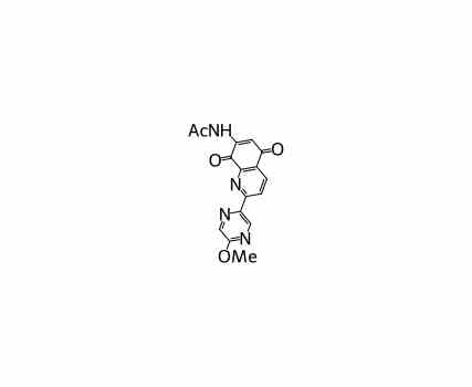 COc1cnc(-c2ccc3c(n2)C(=O)C(NC(C)=O)=CC3=O)cn1